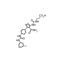 Cc1cccc(NC(=O)Nc2ccc(-c3nsc(NC(=O)NCCC(=O)O)c3C(N)=O)cc2)c1